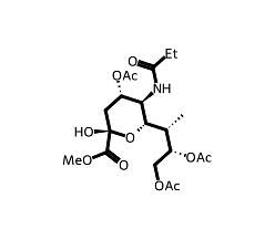 CCC(=O)N[C@H]1[C@H]([C@H](C)[C@@H](COC(C)=O)OC(C)=O)O[C@](O)(C(=O)OC)C[C@@H]1OC(C)=O